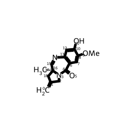 C=C1CN2C(=O)c3cc(OC)c(O)cc3N=C[C@]2(C)C1